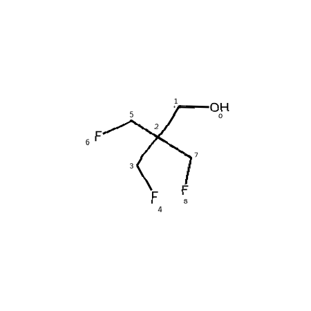 O[CH]C(CF)(CF)CF